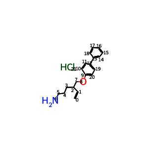 C=CC(CCCN)COc1ccc(-c2ccccc2)cc1.Cl